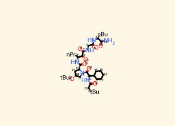 CCCCC(NC(=O)CNC(=O)C(=O)C(CCC)NC(=O)[C@@H]1C[C@@H](OC(C)(C)C)CN1C(=O)C(NC(=O)CC(C)(C)C)C1CCCCC1)C(N)=O